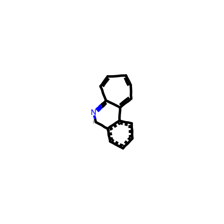 [C]1N=C2C=CC=CC=C2c2ccccc21